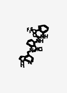 Cl.O=C(Nc1ccccc1OC(F)(F)F)Nc1cccc2c1ccn2Cc1ccnc2[nH]ccc12